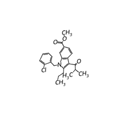 CCCc1c(C(=O)C(C)C)c2ccc(C(=O)OC)cc2n1Cc1ccccc1Cl